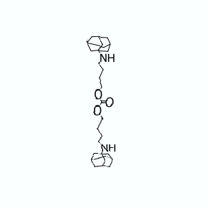 O=C(OCCCCNC12CC3CC(CC(C3)C1)C2)OCCCCNC12CC3CC(CC(C3)C1)C2